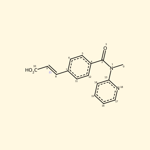 CN(C(=O)c1ccc(/C=C/C(=O)O)cc1)c1ccccn1